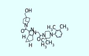 Cc1cccc(N2CCN(C(=O)Cn3nc(C(=O)N4CCC5(CO)CC4C5)c4c3C[C@H]3C[C@@H]43)C(C)(C)C2)c1C